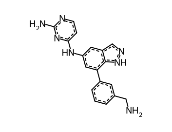 NCc1cccc(-c2cc(Nc3ccnc(N)n3)cc3cn[nH]c23)c1